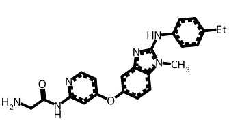 CCc1ccc(Nc2nc3cc(Oc4ccnc(NC(=O)CN)c4)ccc3n2C)cc1